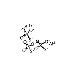 O=S(=O)([O-])[S-].O=S(=O)([O-])[S-].O=S(=O)([O-])[S-].[Al+3].[Al+3]